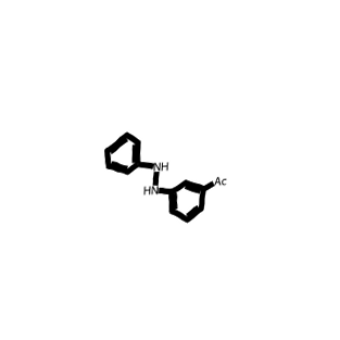 CC(=O)c1cccc(NNc2ccccc2)c1